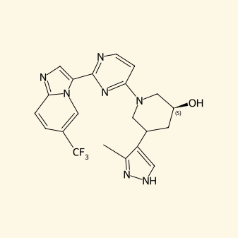 Cc1n[nH]cc1C1C[C@H](O)CN(c2ccnc(-c3cnc4ccc(C(F)(F)F)cn34)n2)C1